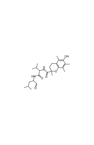 Cc1c(C)c2c(c(C)c1O)CCC(C)(C(=O)NC(C(=O)NC(C=O)CC(C)C)C(C)C)O2